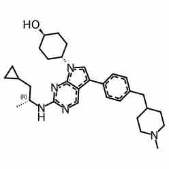 C[C@H](CC1CC1)Nc1ncc2c(-c3ccc(CC4CCN(C)CC4)cc3)cn([C@H]3CC[C@H](O)CC3)c2n1